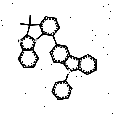 CC1(C)c2cccc(-c3ccc4c(c3)c3ccccc3n4-c3ccccc3)c2-n2c1nc1ccccc12